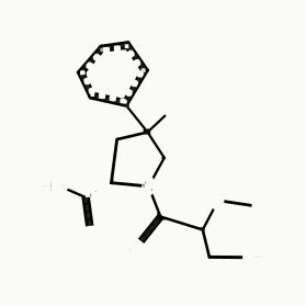 CSC(CS)C(=O)N1CC(O)(c2ccccc2)C[C@H]1C(=O)O